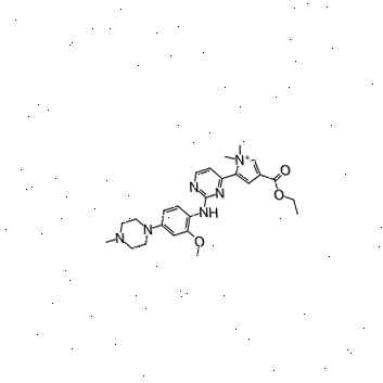 CCOC(=O)C1=C[N+](C)(C)C(c2ccnc(Nc3ccc(N4CCN(C)CC4)cc3OC)n2)=C1